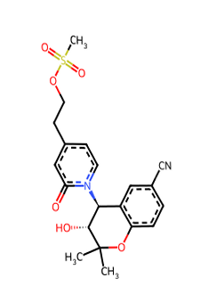 CC1(C)Oc2ccc(C#N)cc2[C@H](n2ccc(CCOS(C)(=O)=O)cc2=O)[C@H]1O